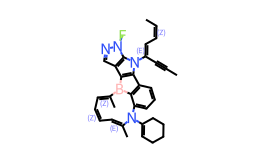 CC#C/C(=C\C=C/C)n1c2c(c3cnn(F)c31)B1/C(C)=C/C=C\C=C(/C)N(C3=CCCCC3)c3cccc-2c31